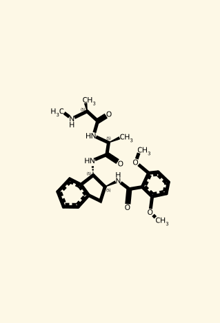 CN[C@@H](C)C(=O)N[C@@H](C)C(=O)N[C@H]1c2ccccc2C[C@@H]1NC(=O)c1c(OC)cccc1OC